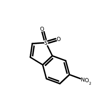 O=[N+]([O-])c1ccc2c(c1)S(=O)(=O)C=C2